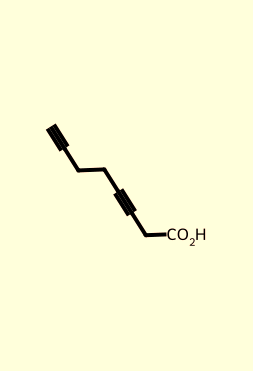 C#CCCC#CCC(=O)O